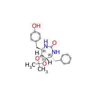 CC1(C)O[C@@H]2[C@@H](O1)[C@@H](Cc1ccc(O)cc1)NC(=O)N[C@@H]2Cc1ccccc1